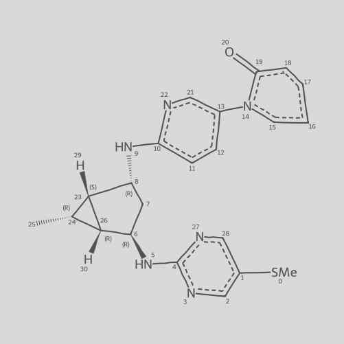 CSc1cnc(N[C@@H]2C[C@@H](Nc3ccc(-n4ccccc4=O)cn3)[C@H]3[C@@H](C)[C@H]32)nc1